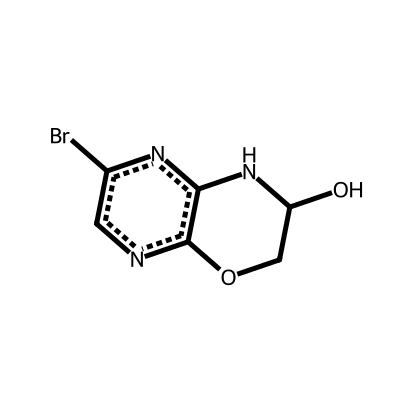 OC1COc2ncc(Br)nc2N1